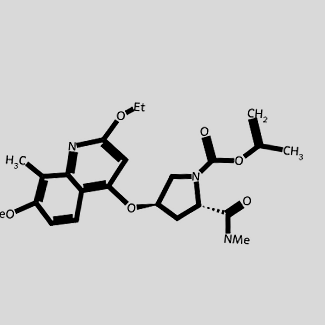 C=C(C)OC(=O)N1C[C@H](Oc2cc(OCC)nc3c(C)c(OC)ccc23)C[C@H]1C(=O)NC